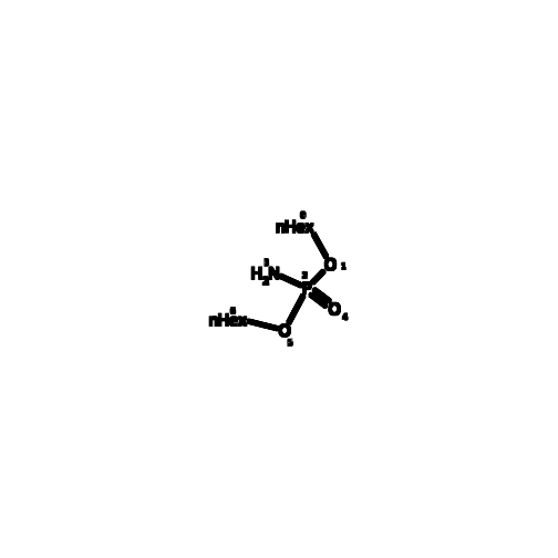 CCCCCCOP(N)(=O)OCCCCCC